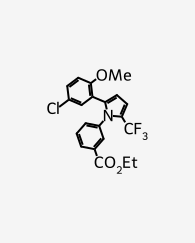 CCOC(=O)c1cccc(-n2c(-c3cc(Cl)ccc3OC)ccc2C(F)(F)F)c1